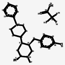 CC(C)[C@H]1CN(C2CCN(c3ccccn3)CC2)[C@@H](Cc2ccc(Cl)cc2)CN1C.O=C(O)C(F)(F)F